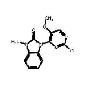 COc1cnc(Cl)nc1-n1c(=O)n(C)c2ccccc21